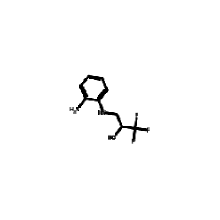 Nc1ccccc1NCC(O)C(F)(F)F